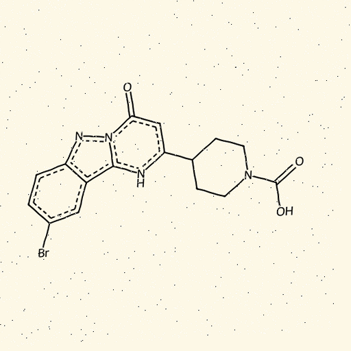 O=C(O)N1CCC(c2cc(=O)n3nc4ccc(Br)cc4c3[nH]2)CC1